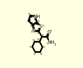 NC(=O)C(c1nc2cc[nH]c2s1)C1CCCCC1